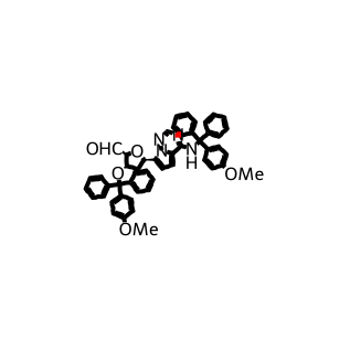 COc1ccc(C(Nc2ncnn3c([C@H]4C[C@H](OC(c5ccccc5)(c5ccccc5)c5ccc(OC)cc5)[C@@H](C=O)O4)ccc23)(c2ccccc2)c2ccccc2)cc1